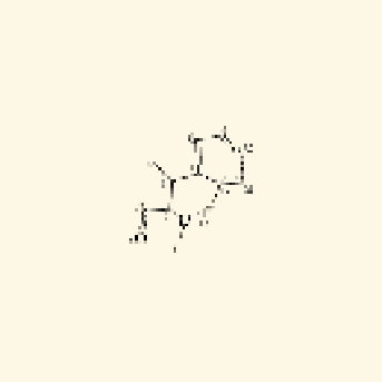 COC([C]=O)C(C)c1ccccc1F